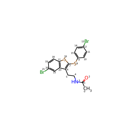 CC(=O)NCCc1c(Sc2ccc(Br)cc2)sc2ccc(Br)cc12